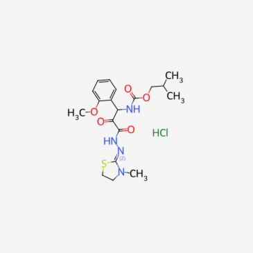 COc1ccccc1C(NC(=O)OCC(C)C)C(=O)C(=O)N/N=C1\SCCN1C.Cl